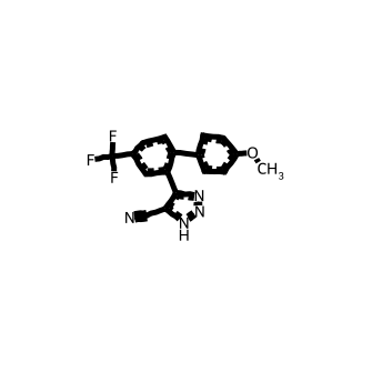 COc1ccc(-c2ccc(C(F)(F)F)cc2-c2nn[nH]c2C#N)cc1